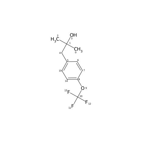 CC(C)(O)Cc1ccc(OC(F)(F)F)cc1